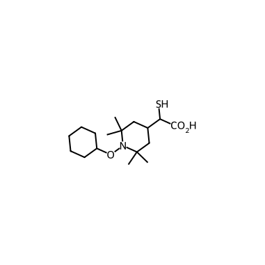 CC1(C)CC(C(S)C(=O)O)CC(C)(C)N1OC1CCCCC1